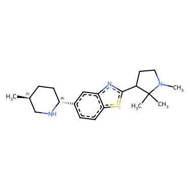 C[C@H]1CC[C@H](c2ccc3sc(C4CCN(C)C4(C)C)nc3c2)NC1